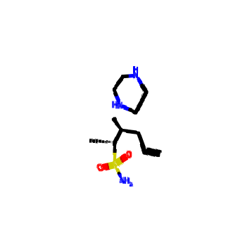 C1CNCCN1.C=CC[C@H](C)[C@@H](C)S(N)(=O)=O